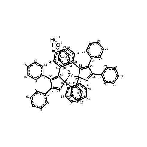 Cl.Cl.c1ccc(C2=P[C]([Zr][C]3(c4ccccc4)P=C(c4ccccc4)C(c4ccccc4)=C3c3ccccc3)(c3ccccc3)C(c3ccccc3)=C2c2ccccc2)cc1